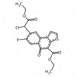 CCOC(=O)c1c(=O)c2cc(F)c(C(Cl)C(=O)OCC)cc2n2ccsc12